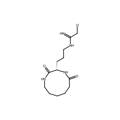 N=C(CCl)NCCC[C@@H]1NC(=O)CCCCCNC1=O